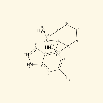 COC1(c2cc(F)cc3[nH]nnc23)C2CCCC1CNC2